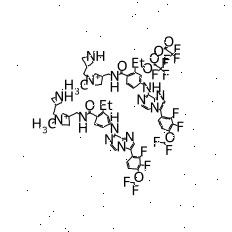 CCc1cc(Nc2nccn3c(-c4ccc(OC(F)F)c(F)c4F)cnc23)ccc1C(=O)NCC1CC[N+](C)(CC2CNC2)C1.CCc1cc(Nc2nccn3c(-c4ccc(OC(F)F)c(F)c4F)cnc23)ccc1C(=O)NCC1CC[N+](C)(CC2CNC2)C1.O=C([O-])C(F)(F)F.O=C([O-])C(F)(F)F